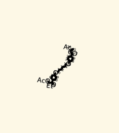 CCC(OC(C)=O)C(=O)c1ccc(OCCCCCCOc2ccc(C(=O)OC(C)C(C)=O)cc2)cc1